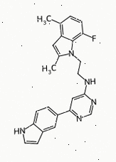 Cc1ccc(F)c2c1cc(C)n2CCNc1cc(-c2ccc3[nH]ccc3c2)ncn1